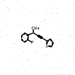 OC(C#Cc1cccs1)c1ccccc1F